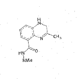 CNNC(=O)c1cccc2c1N=C(C)CN2